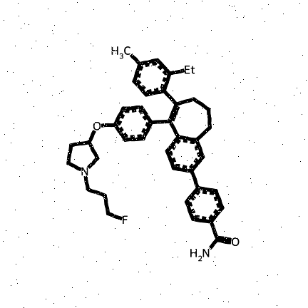 CCc1cc(C)ccc1C1=C(c2ccc(OC3CCN(CCCF)C3)cc2)c2ccc(-c3ccc(C(N)=O)cc3)cc2CCC1